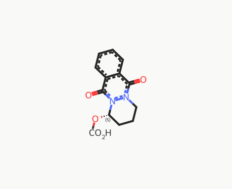 O=C(O)O[C@H]1CCCn2c(=O)c3ccccc3c(=O)n21